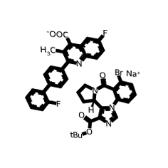 CC(C)(C)OC(=O)c1ncn2c1[C@@H]1CCCN1C(=O)c1c(Br)cccc1-2.Cc1c(-c2ccc(-c3ccccc3F)cc2)nc2ccc(F)cc2c1C(=O)[O-].[Na+]